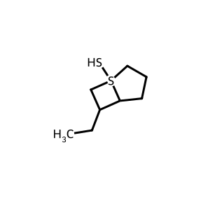 CCC1CS2(S)CCCC12